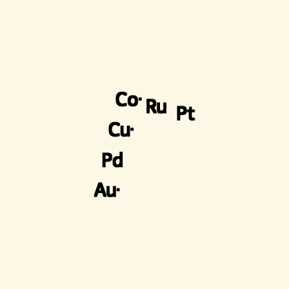 [Au].[Co].[Cu].[Pd].[Pt].[Ru]